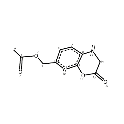 CC(=O)OCc1ccc2c(n1)OC(=O)CN2